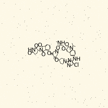 CNC(=O)COc1cc2cc(Nc3nc(N4CCC(O[C@H]5C[C@@H](Oc6cccc7c6C(=O)N(C6CCC(=O)NC6=O)C7=O)CN(C)C5)CC4)ncc3Cl)ccc2n(C(C)C)c1=O